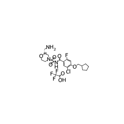 NC[C@@H]1CN(S(=O)(=O)NC(=O)c2cc(Cl)c(OCC3CCCC3)cc2F)CCO1.O=C(O)C(F)(F)F